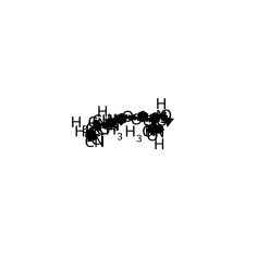 Cn1cc(-c2cc(NS(=O)(=O)C3CC3)ccc2Oc2cccc(OCCOC3CCN(c4ncc(C(=O)N[C@H]5C(C)(C)[C@H](Oc6ccc(C#N)c(Cl)c6)C5(C)C)cn4)CC3)c2)c2cc[nH]c2c1=O